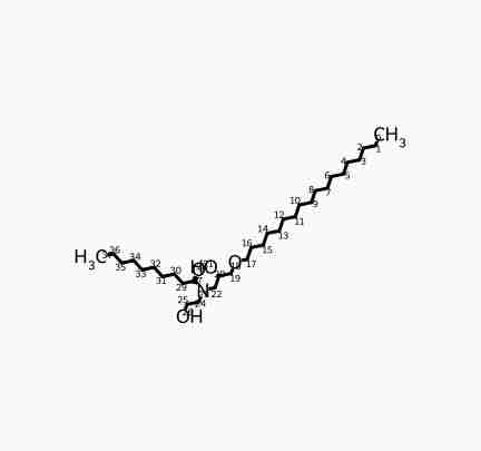 CCCCCCCCCCCCCCCCCCOCC(O)CN(CCO)C(=O)CCCCCCCCC